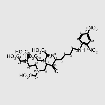 N[C@@H](CCCCNc1ccc([N+](=O)[O-])cc1[N+](=O)[O-])C(=O)C(CN(CCN(CC(=O)O)CC(=O)O)CC(=O)O)N(CC(=O)O)CC(=O)O